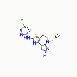 Fc1cnc(Nc2nc3c(s2)CCN(CC2CC2)c2n[nH]cc2-3)nc1